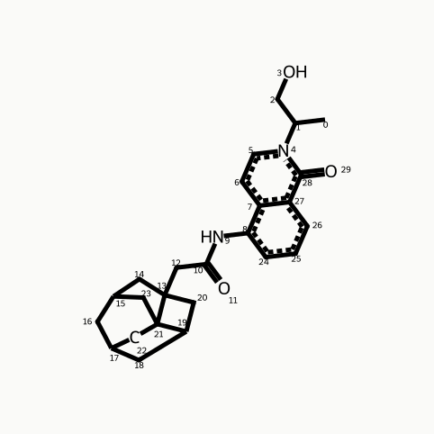 CC(CO)n1ccc2c(NC(=O)CC34CC5CC6CC(C3)C4(C6)C5)cccc2c1=O